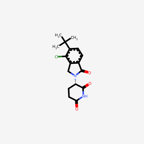 CC(C)(C)c1ccc2c(c1Cl)CN([C@H]1CCC(=O)NC1=O)C2=O